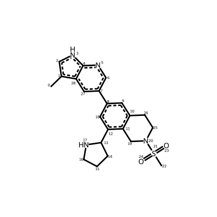 Cc1c[nH]c2ncc(-c3cc4c(c(C5CCCN5)c3)CN(S(C)(=O)=O)CC4)cc12